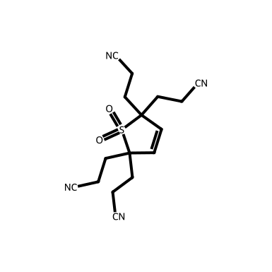 N#CCCC1(CCC#N)C=CC(CCC#N)(CCC#N)S1(=O)=O